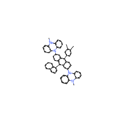 Cc1ccc(-c2c3cc(N4c5ccccc5N(C)c5ccccc54)ccc3c(-c3cccc4ccccc34)c3cc(N4c5ccccc5N(C)c5ccccc54)ccc23)cc1C